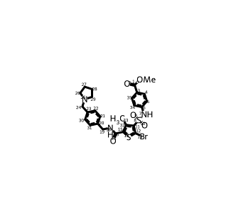 COC(=O)c1ccc(NS(=O)(=O)c2c(Br)sc(C(=O)NCc3ccc(CN4CCCC4)cc3)c2C)cc1